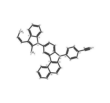 C/C=C\c1c(C)n(-c2ccc3c(c2)c2c4ccccc4ccc2n3-c2ccc(C#N)cc2)c2ccccc12